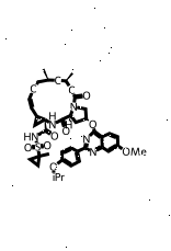 COc1ccc2c(O[C@@H]3C[C@H]4C(=O)N[C@]5(C(=O)NS(=O)(=O)C6(C)CC6)CC5/C=C\CC[C@@H](C)C[C@@H](C)CC(=O)N4C3)nc(-c3ccc(OC(C)C)cc3)nc2c1